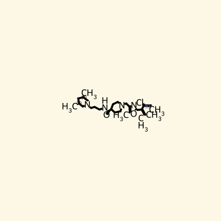 C/C=C(/Cl)C(=C(C)C)c1nc(CN2CCC(C(=O)NCCCN3C[C@H](C)C[C@H](C)C3)CC2)c(C)o1